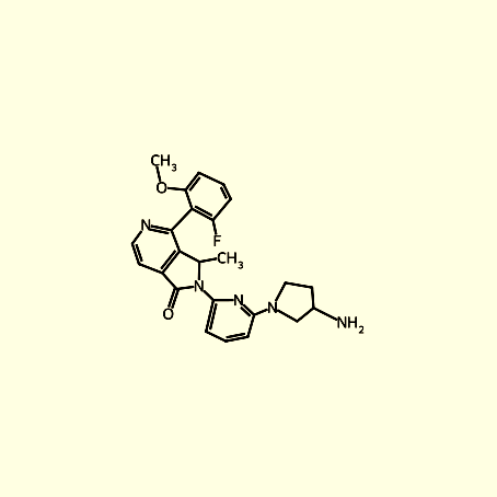 COc1cccc(F)c1-c1nccc2c1C(C)N(c1cccc(N3CCC(N)C3)n1)C2=O